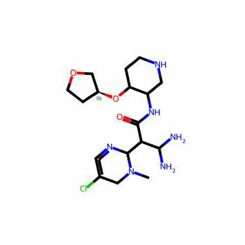 CN1CC(Cl)=C=NC1C(C(=O)NC1CNCCC1O[C@H]1CCOC1)C(N)N